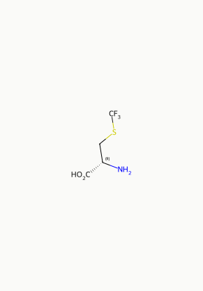 N[C@@H](CSC(F)(F)F)C(=O)O